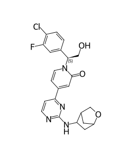 O=c1cc(-c2ccnc(NC3CC4CC3CO4)n2)ccn1[C@H](CO)c1ccc(Cl)c(F)c1